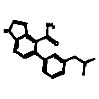 CN(C)Cc1cccc(-c2cnc3[nH]c[c]c3c2C(N)=O)c1